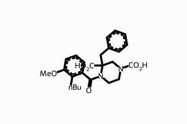 CCCCc1c(OC)cccc1C(=O)N1CCN(C(=O)O)CC1(Cc1ccccc1)C(=O)O